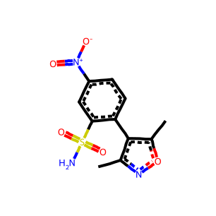 Cc1noc(C)c1-c1ccc([N+](=O)[O-])cc1S(N)(=O)=O